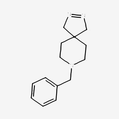 c1ccc(CN2CCC3(CC2)CN=NC3)cc1